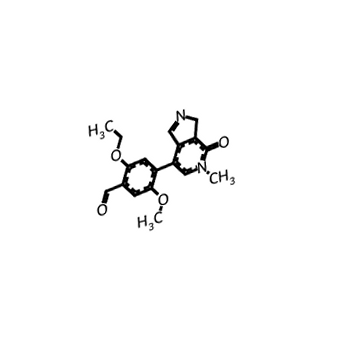 CCOc1cc(-c2cn(C)c(=O)c3c2C=NC3)c(OC)cc1C=O